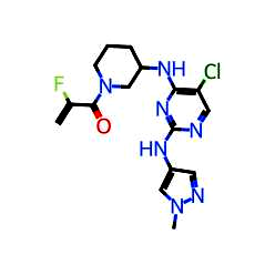 C=C(F)C(=O)N1CCCC(Nc2nc(Nc3cnn(C)c3)ncc2Cl)C1